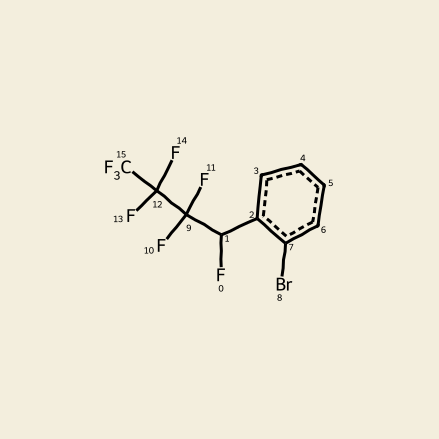 FC(c1ccccc1Br)C(F)(F)C(F)(F)C(F)(F)F